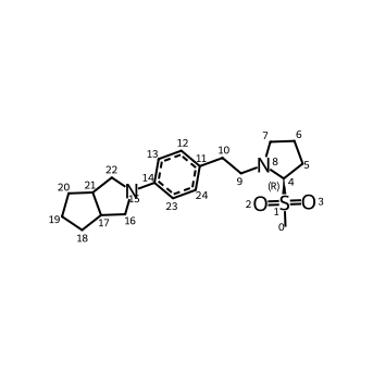 CS(=O)(=O)[C@@H]1CCCN1CCc1ccc(N2CC3CCCC3C2)cc1